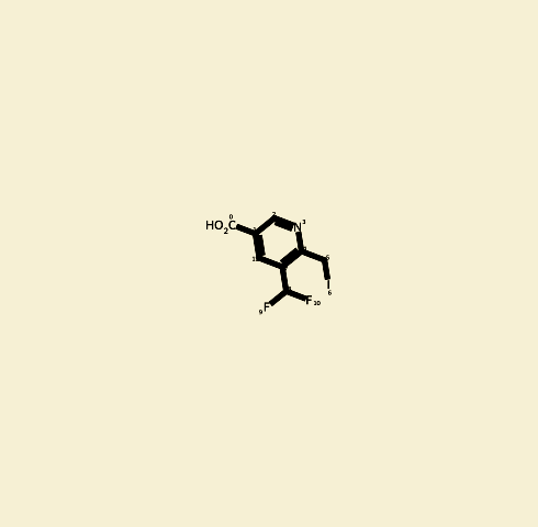 O=C(O)c1cnc(CI)c(C(F)F)c1